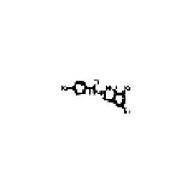 O=C(N/N=C/c1cc(Br)cc(Br)c1O)c1ccc(Br)cc1